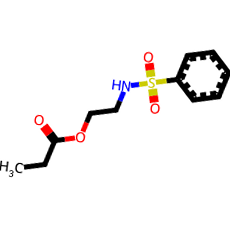 CCC(=O)OCCNS(=O)(=O)c1ccccc1